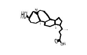 C[C@H](CCC(=O)O)C1CCC2C3CC[C@@H]4C[C@H](O)CC[C@]4(C)C3CC[C@@]21C